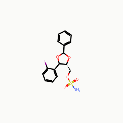 NS(=O)(=O)OC[C@H]1OC(c2ccccc2)OC1c1ccccc1I